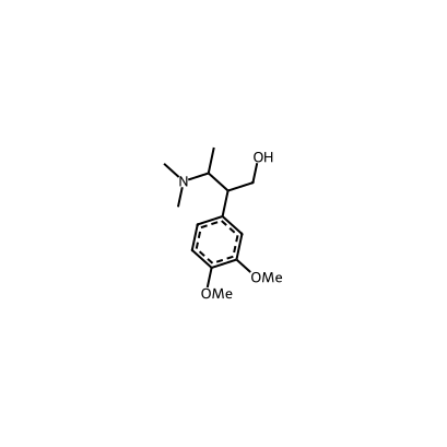 COc1ccc(C(CO)C(C)N(C)C)cc1OC